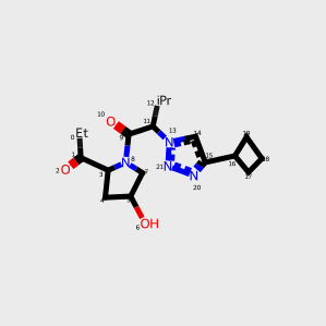 CCC(=O)C1CC(O)CN1C(=O)C(C(C)C)n1cc(C2CCC2)nn1